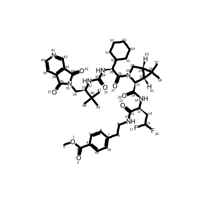 COC(=O)c1ccc(CCNC(=O)[C@H](CC(F)F)NC(=O)[C@@H]2[C@@H]3[C@H](CN2C(=O)[C@@H](NC(=O)N[C@H](CN2C(=O)c4ccncc4C2=O)C(C)(C)C)C2CCCCC2)C3(C)C)cc1